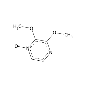 COc1ncc[n+]([O-])c1OC